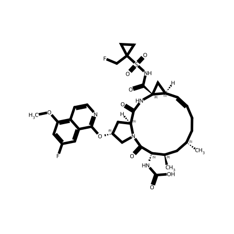 COc1cc(F)cc2c(O[C@@H]3C[C@H]4C(=O)N[C@]5(C(=O)NS(=O)(=O)C6(CF)CC6)C[C@H]5C=CCC[C@H](C)C[C@@H](C)[C@H](NC(=O)O)C(=O)N4C3)nccc12